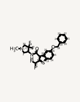 CN1CC(NC(=O)c2c(C(F)F)sc3ccc(OCc4ccccc4)cc23)C(F)(F)C1